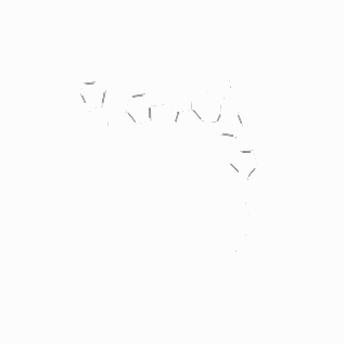 CCCCOCCOc1ccc(-c2ccc3c(c2)C=C(C(=O)Nc2ccc([S+]([O-])c4ccccn4)cc2)CCN3CCC)cc1